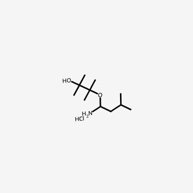 CC(C)CC(N)OC(C)(C)C(C)(C)O.Cl